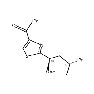 CC(=O)O[C@H](C[C@@H](C)C(C)C)c1nc(C(=O)C(C)C)cs1